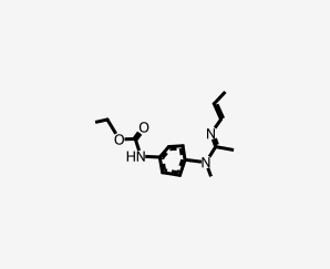 CC=CN=C(C)N(C)c1ccc(NC(=O)OCC)cc1